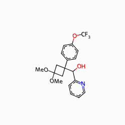 COC1(OC)CC(c2ccc(OC(F)(F)F)cc2)(C(O)c2ccccn2)C1